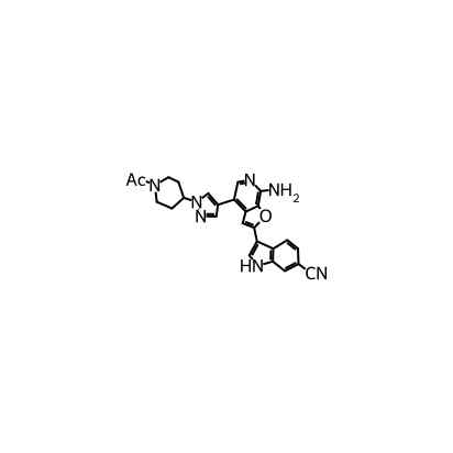 CC(=O)N1CCC(n2cc(-c3cnc(N)c4oc(-c5c[nH]c6cc(C#N)ccc56)cc34)cn2)CC1